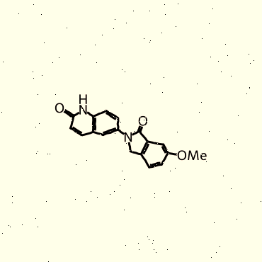 COc1ccc2c(c1)C(=O)N(c1ccc3[nH]c(=O)ccc3c1)C2